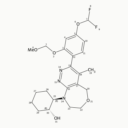 COCOc1cc(OC(F)F)ccc1-c1nnc2c(c1C)COCCN2[C@@H]1CCCC[C@H]1O